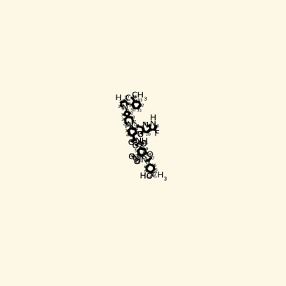 C#Cc1nc2[nH]cc(F)c2cc1Oc1cc(N2CCC3(CC2)CC(N2CCC[C@@H]2c2ccccc2C(C)C)C3)ccc1C(=O)NS(=O)(=O)c1cc2c(c([N+](=O)[O-])c1)N[C@@H](C1CCC(C)(O)CC1)CO2